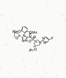 COc1cccc(OC)c1-n1c(NS(=O)(=O)[C@@H]2C[C@@H](OC(C)C)CN(c3ncc(F)cn3)C2)nnc1[C@H]1CCCO1